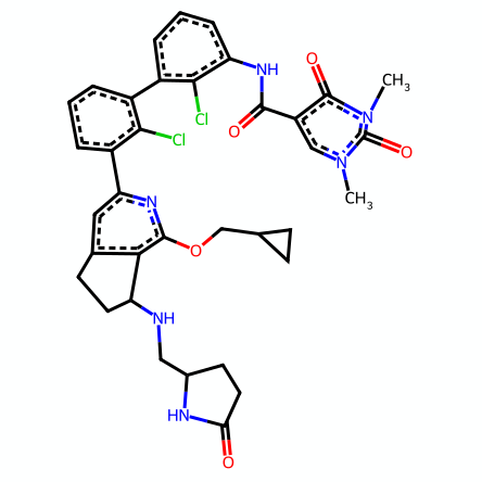 Cn1cc(C(=O)Nc2cccc(-c3cccc(-c4cc5c(c(OCC6CC6)n4)C(NCC4CCC(=O)N4)CC5)c3Cl)c2Cl)c(=O)n(C)c1=O